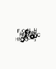 CS(=O)(=O)[C@H](Nc1nc(Nc2cccc3c2NC(=O)C3)ncc1C(F)(F)F)C1CCCNC1